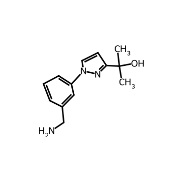 CC(C)(O)c1ccn(-c2cccc(CN)c2)n1